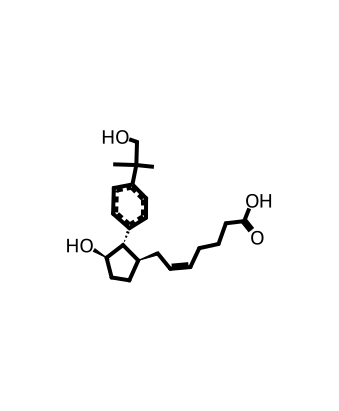 CC(C)(CO)c1ccc([C@@H]2[C@@H](C/C=C\CCCC(=O)O)CC[C@H]2O)cc1